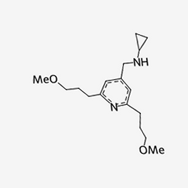 COCCCc1cc(CNC2CC2)cc(CCCOC)n1